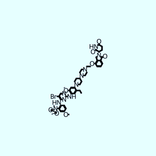 CCc1cc(Nc2ncc(Br)c(Nc3ccc(OC)cc3N(C)S(C)(=O)=O)n2)c(OC)cc1N1CCC(N2CCN(CCOc3cccc4c3CN(C3CCC(=O)NC3=O)C4=O)CC2)CC1